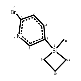 C[Si]1(c2ccc(Br)nc2)CCC1